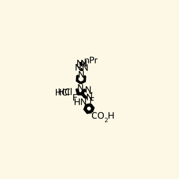 CCCn1nnc(N2CCC(n3cc(F)c4c(Nc5ccc(C(=O)O)cc5F)ncnc43)CC2)n1.Cl.Cl